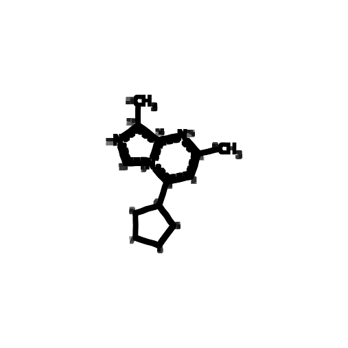 Cc1cc(C2CCCC2)n2cnc(C)c2n1